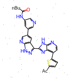 CCCCC(=O)Nc1cncc(-c2cnc3[nH]nc(-c4nc5c(-c6ccc(C(C)=O)s6)ccnc5[nH]4)c3c2)c1